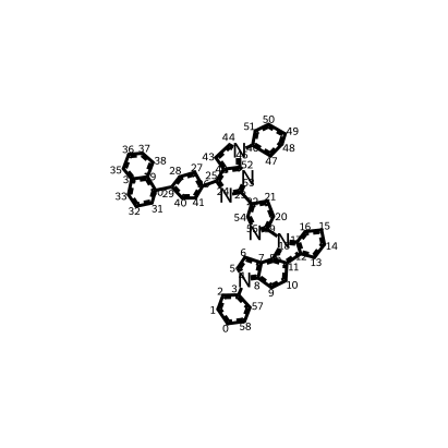 c1ccc(-n2ccc3c2ccc2c4ccccc4n(-c4ccc(-c5nc(-c6ccc(-c7cccc8ccccc78)cc6)c6ccn(-c7ccccc7)c6n5)cn4)c23)cc1